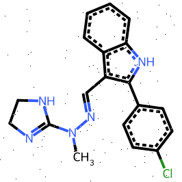 CN(N=Cc1c(-c2ccc(Cl)cc2)[nH]c2ccccc12)C1=NCCN1